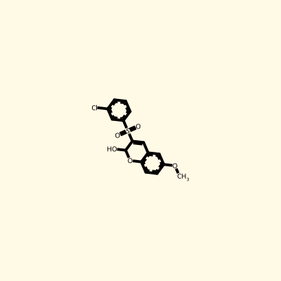 COc1ccc2c(c1)C=C(S(=O)(=O)c1cccc(Cl)c1)C(O)O2